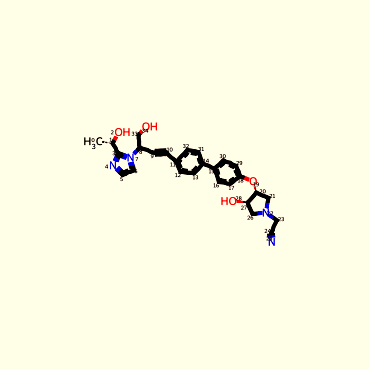 C[C@H](O)c1nccn1C(C#Cc1ccc(-c2ccc(O[C@@H]3CN(CC#N)C[C@H]3O)cc2)cc1)CO